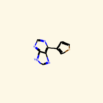 c1nc(-c2ccsc2)c2nc[nH]c2n1